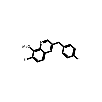 COc1c(Br)ccc2cc(Cc3ccc(F)cc3)cnc12